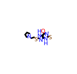 Cn1c(=S)[nH]c2nc(SCCN3CCCC3)[nH]c2c1=O